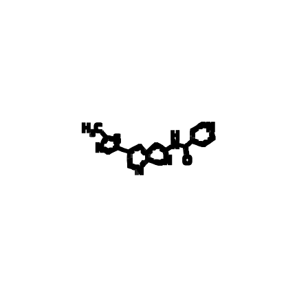 Cc1ncc(-c2cnc3cnc(NC(=O)c4ccncc4)cc3c2)s1